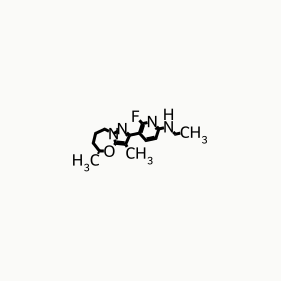 CCNc1ccc(-c2nn3c(c2C)O[C@@H](C)CCC3)c(F)n1